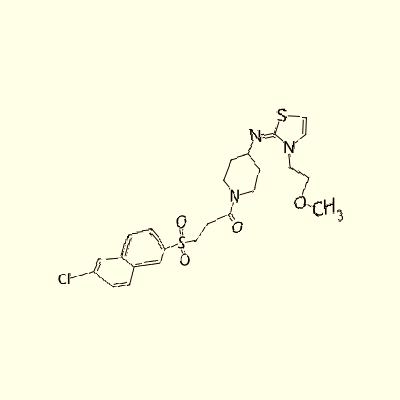 COCCn1ccsc1=NC1CCN(C(=O)CCS(=O)(=O)c2ccc3cc(Cl)ccc3c2)CC1